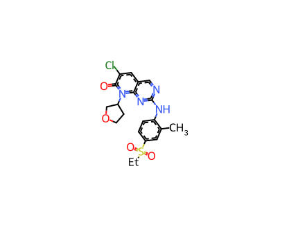 CCS(=O)(=O)c1ccc(Nc2ncc3cc(Cl)c(=O)n(C4CCOC4)c3n2)c(C)c1